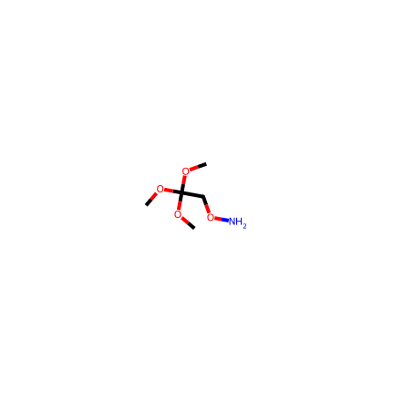 COC(CON)(OC)OC